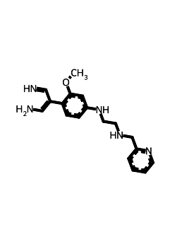 COc1cc(NCCNCc2ccccn2)ccc1/C(C=N)=C/N